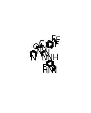 C[C@@H]1C(=O)N(c2cccnc2)c2cnc(Nc3cc(F)c4[nH]ncc4c3)nc2N1[C@H]1CC[C@@H](C(F)(F)F)CC1